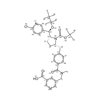 CN(Cc1cncc(C(=O)O)c1)C(=O)c1ccc(C[C@@H]2CC[C@H]([C@H](O[Si](C)(C)C(C)(C)C)c3ccc(Cl)nc3)N2C(=O)OC(C)(C)C)cc1